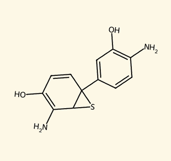 NC1=C(O)C=CC2(c3ccc(N)c(O)c3)SC12